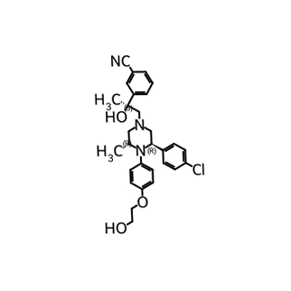 C[C@@H]1CN(C[C@@](C)(O)c2cccc(C#N)c2)C[C@@H](c2ccc(Cl)cc2)N1c1ccc(OCCO)cc1